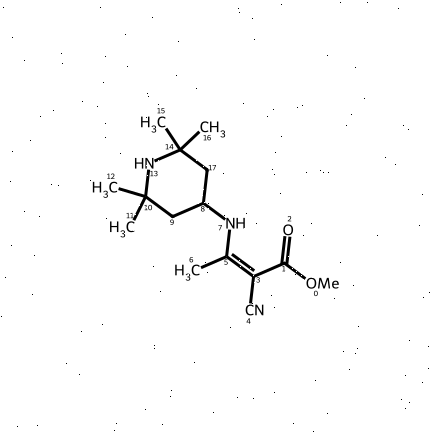 COC(=O)C(C#N)=C(C)NC1CC(C)(C)NC(C)(C)C1